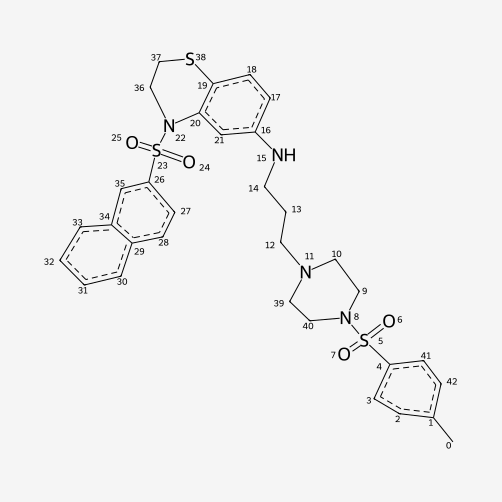 Cc1ccc(S(=O)(=O)N2CCN(CCCNc3ccc4c(c3)N(S(=O)(=O)c3ccc5ccccc5c3)CCS4)CC2)cc1